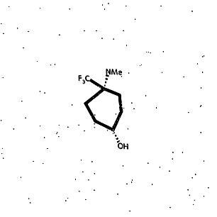 CN[C@]1(C(F)(F)F)CC[C@H](O)CC1